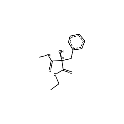 CCOC(=O)[C@@](O)(Cc1ccccc1)C(=O)NC